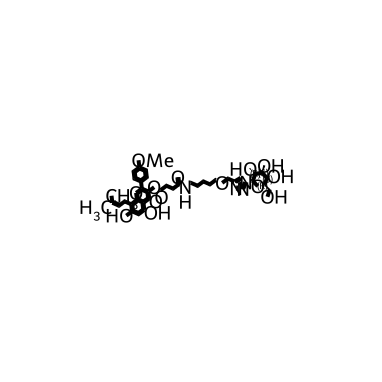 COc1ccc(-c2oc3c(CC=C(C)C)c(O)cc(O)c3c(=O)c2OC(=O)CCC(=O)NCCCCCOCc2cn(C3O[C@H](CO)[C@@H](O)[C@H](O)[C@H]3O)nn2)cc1